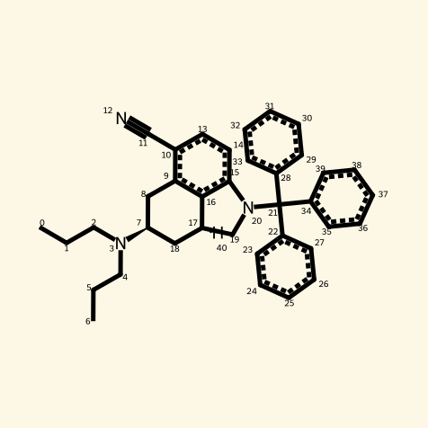 CCCN(CCC)[C@H]1Cc2c(C#N)ccc3c2[C@H](C1)CN3C(c1ccccc1)(c1ccccc1)c1ccccc1